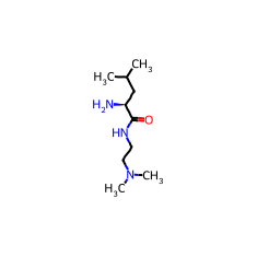 CC(C)C[C@H](N)C(=O)NCCN(C)C